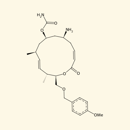 COc1ccc(COC[C@@H]2OC(=O)/C=C\C[C@H](N)C[C@H](OC(N)=O)C[C@H](C)/C=C/[C@H]2C)cc1